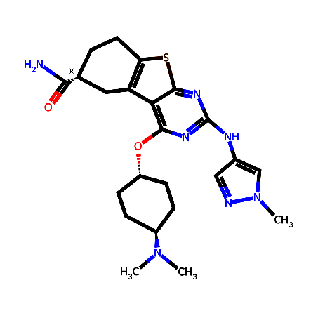 Cn1cc(Nc2nc(O[C@H]3CC[C@H](N(C)C)CC3)c3c4c(sc3n2)CC[C@@H](C(N)=O)C4)cn1